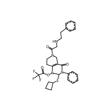 O=C(CNCCc1ccccc1)N1CCC2=C(C1)C(=O)N(c1ccccc1)C(SC1CCC1)N2OC(=O)C(F)(F)F